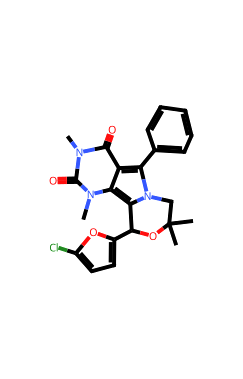 Cn1c(=O)c2c(-c3ccccc3)n3c(c2n(C)c1=O)C(c1ccc(Cl)o1)OC(C)(C)C3